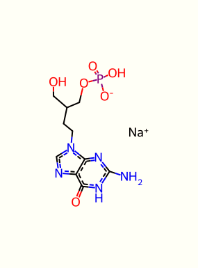 Nc1nc2c(ncn2CCC(CO)COP(=O)([O-])O)c(=O)[nH]1.[Na+]